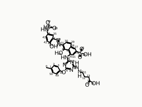 Cc1ccc(Oc2nc(NNCCCC(=O)O)nc(Nc3cc(S(=O)(=O)O)cc4ccc(N=Nc5cc(N[SH](=O)=O)ccc5O)c(O)c34)n2)cc1